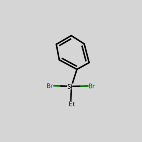 CC[Si](Br)(Br)c1ccccc1